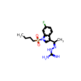 CCCCS(=O)(=O)n1cc(/C(C)=N\NC(=N)N)c2ccc(F)cc21